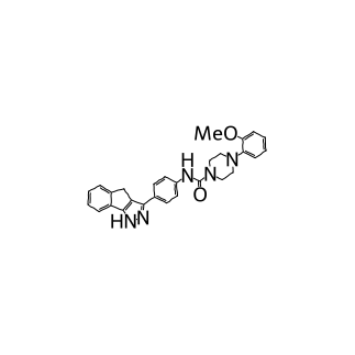 COc1ccccc1N1CCN(C(=O)Nc2ccc(-c3n[nH]c4c3Cc3ccccc3-4)cc2)CC1